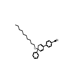 CCCCCCCCCCOC1(c2ccccc2)C=CC(c2ccc(C#N)cc2)=CC1